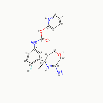 C[C@@]1(c2cc(NC(=O)Oc3ccccn3)ccc2F)CCOCC(N)=N1